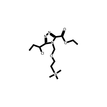 CCOC(=O)c1nnc(C(Cl)CC)n1COCC[Si](C)(C)C